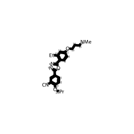 [C-]#[N+]c1cc(-c2nnc(-c3ccc(OCCCNC)cc3CC)o2)ccc1OC(C)C